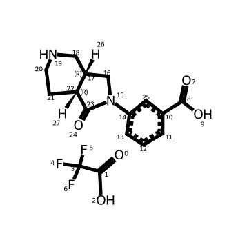 O=C(O)C(F)(F)F.O=C(O)c1cccc(N2C[C@H]3CNCC[C@H]3C2=O)c1